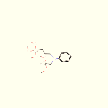 CO[Si](C)(CN(CCC[Si](OC)(OC)OC)c1ccccc1)OC